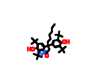 CCCCCCC(CC(N)=O)(c1cc(C(C)(C)C)c(O)c(C(C)(C)C)c1)c1cc(C(C)(C)C)c(O)c(C(C)(C)C)c1